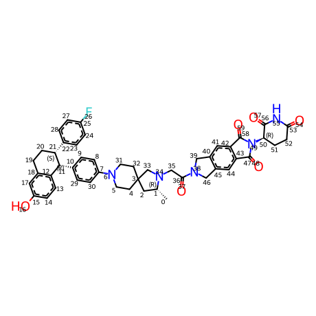 C[C@@H]1CC2(CCN(c3ccc([C@@H]4c5ccc(O)cc5CC[C@@H]4c4ccc(F)cc4)cc3)CC2)CN1CC(=O)N1Cc2cc3c(cc2C1)C(=O)N([C@@H]1CCC(=O)NC1=O)C3=O